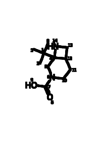 CC(C)(C)C12CN(C(=O)O)CCC1CN2